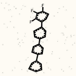 Fc1ccc(-c2ccc(-c3ccc(-c4ccccc4)cc3)cc2)c(F)c1F